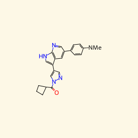 CNc1ccc(-c2cnc3[nH]cc(-c4cnn(C(=O)C5CCC5)c4)c3c2)cc1